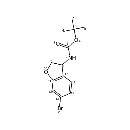 CC(C)(C)OC(=O)NC1COc2cc(Br)ccc21